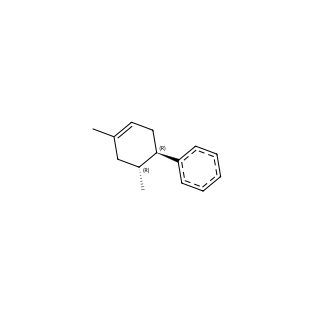 CC1=CC[C@@H](c2ccccc2)[C@H](C)C1